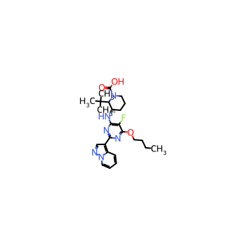 CCCCOc1nc(-c2cnn3ccccc23)nc(N[C@@H]2CCCN(C(=O)O)C2C(C)(C)C)c1F